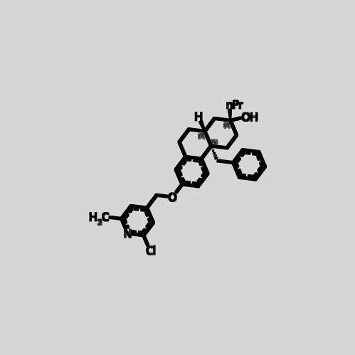 CCC[C@@]1(O)CC[C@@]2(Cc3ccccc3)c3ccc(OCc4cc(C)nc(Cl)c4)cc3CC[C@@H]2C1